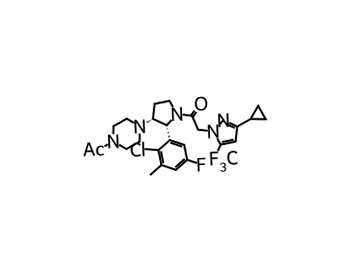 CC(=O)N1CCN([C@@H]2CCN(C(=O)Cn3nc(C4CC4)cc3C(F)(F)F)[C@@H]2c2cc(F)cc(C)c2Cl)CC1